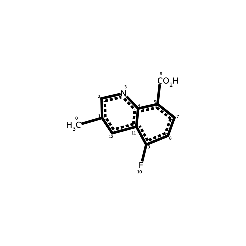 Cc1cnc2c(C(=O)O)ccc(F)c2c1